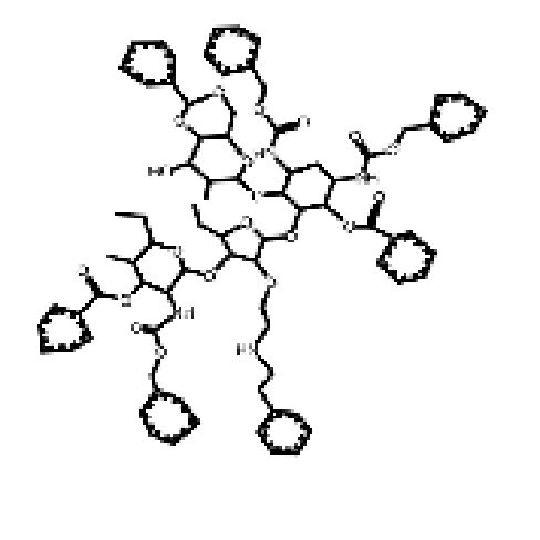 CCC1OC(OC2C(CC)OC(OC3C(OC(=O)c4ccccc4)C(NC(=O)OCc4ccccc4)CC(NC(=O)OCc4ccccc4)C3OC3OC4COC(c5ccccc5)OC4C(O)C3C)C2OCCNCCc2ccccc2)C(NC(=O)OCc2ccccc2)C(OC(=O)c2ccccc2)C1C